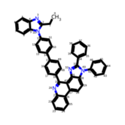 CCc1nc2ccccc2n1-c1ccc(-c2ccc(-c3nc4ccccc4c4ccc5c(nc(-c6ccccc6)n5-c5ccccc5)c34)cc2)cc1